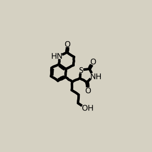 O=C1CCc2c(cccc2C(CCCO)C2SC(=O)NC2=O)N1